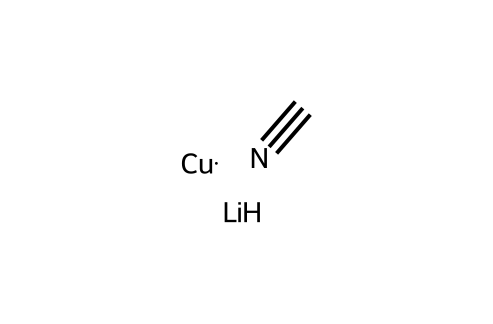 C#N.[Cu].[LiH]